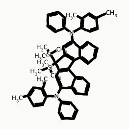 Cc1ccc(N(c2ccccc2)c2cc3c(c4ccccc24)-c2c(cc(N(c4ccccc4)c4ccc(C)cc4C)c4ccccc24)C3([Si](C)(C)C)[Si](C)(C)C)c(C)c1